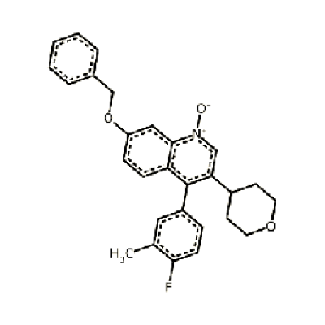 Cc1cc(-c2c(C3CCOCC3)c[n+]([O-])c3cc(OCc4ccccc4)ccc23)ccc1F